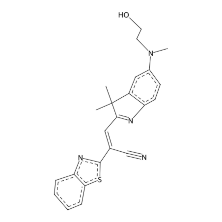 CN(CCO)c1ccc2c(c1)C(C)(C)C(/C=C(\C#N)c1nc3ccccc3s1)=N2